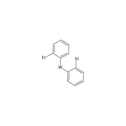 CCc1cccc[c]1[W][c]1ccccc1CC